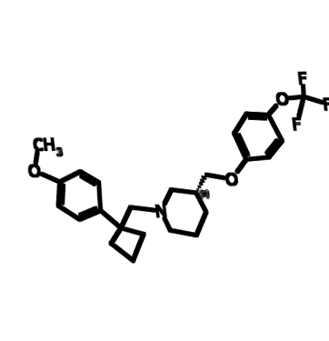 COc1ccc(C2(CN3CCC[C@@H](COc4ccc(OC(F)(F)F)cc4)C3)CCC2)cc1